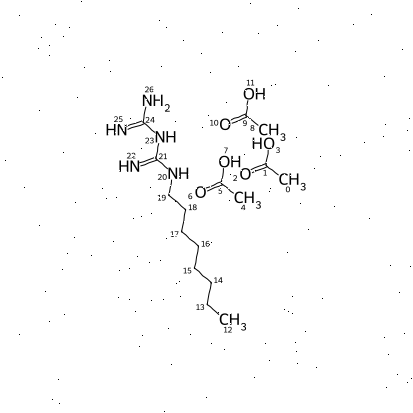 CC(=O)O.CC(=O)O.CC(=O)O.CCCCCCCCNC(=N)NC(=N)N